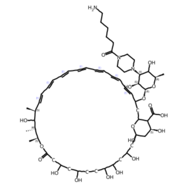 C[C@@H]1OC(=O)CC(O)CC(O)CCC(O)C(O)CC(O)CC2(O)C[C@H](O)C(C(=O)O)C(CC(O[C@@H]3O[C@H](C)C(O)[C@H](N4CCN(C(=O)CCCCCN)CC4)[C@@H]3O)/C=C/C=C/C=C/C=C/C=C/C=C/C=C/[C@H](C)C(O)[C@H]1C)O2